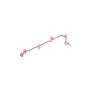 CCCCCC1OC1C/C=C\CCCCCCCC(=O)OCCCCCCCCCCOC(=O)CCCCCCCCCCC(=O)OCc1ccccc1